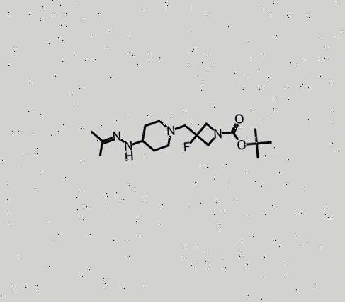 CC(C)=NNC1CCN(CC2(F)CN(C(=O)OC(C)(C)C)C2)CC1